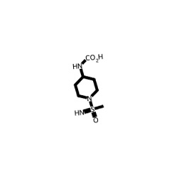 CS(=N)(=O)N1CCC(NC(=O)O)CC1